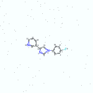 Fc1ccc(-n2cnc(-c3cccnc3)c2)cc1